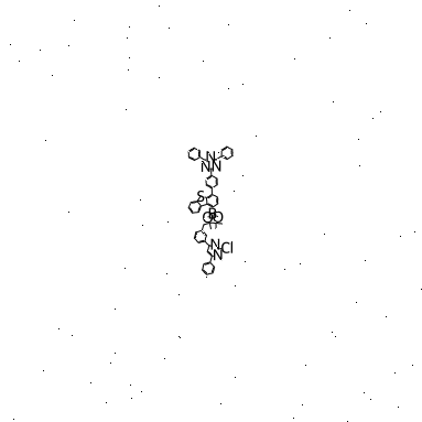 CC1(C)OB(c2ccc(-c3ccc(-c4nc(-c5ccccc5)nc(-c5ccccc5)n4)cc3)c3sc4ccccc4c23)OC1(C)Cc1cccc(-c2cc(-c3ccccc3)nc(Cl)n2)c1